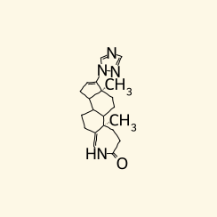 C[C@]12CCC(=O)NC=C1CCC1C2CC[C@]2(C)C(n3cncn3)=CCC12